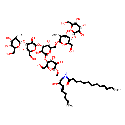 CCCCCCCCCCCCC/C=C/[C@@H](O)[C@H](CO[C@@H]1OC(CO)[C@@H](O[C@@H]2OC(CO[C@@H]3OC(CO)[C@@H](O[C@@H]4OC(CO)[C@H](O)[C@H](O)C4O)[C@H](O)C3NC(C)=O)[C@H](O)[C@H](O[C@H]3OC(CO)[C@H](O)[C@H](O[C@@H]4OC(CO)[C@H](O)[C@H](O)C4NC(C)=O)C3O)C2O)[C@H](O)C1O)NC(=O)CCCCCCCCCCCCCCCCCCCCC